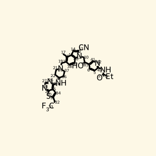 CCC(=O)Nc1ccc(C(O)Cn2c(C#N)cc3c(C)c(CN4CCC(Nc5ncnc6sc(CC(F)(F)F)cc56)CC4)ccc32)cn1